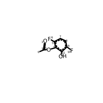 CC(=O)Oc1c(F)ccc(F)c1O